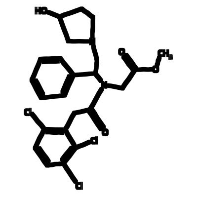 COC(=O)CN(C(=O)Cc1c(Cl)ccc(Cl)c1Cl)C(CN1CCC(O)C1)c1ccccc1